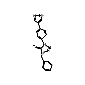 O=c1n(Cc2ccccc2)nnn1-c1ccc(-c2cn[nH]c2)cc1